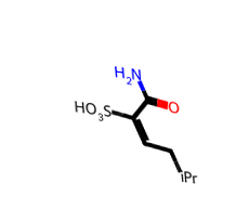 CC(C)C/C=C(\C(N)=O)S(=O)(=O)O